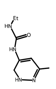 CCNC(=O)NC1=CC(C)=NNC1